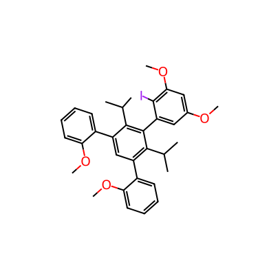 COc1cc(OC)c(I)c(-c2c(C(C)C)c(-c3ccccc3OC)cc(-c3ccccc3OC)c2C(C)C)c1